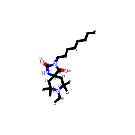 CCCCCCCCN1C(=O)NC2(CC(C)(C)N(CC)C(C)(C)C2)C1=O